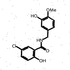 COc1ccc(CNC(=O)c2cc(Cl)ccc2O)cc1O